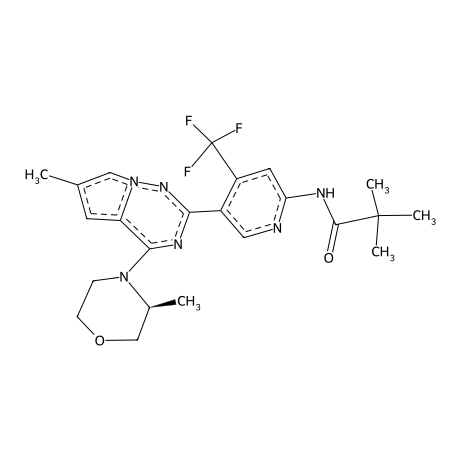 Cc1cc2c(N3CCOC[C@@H]3C)nc(-c3cnc(NC(=O)C(C)(C)C)cc3C(F)(F)F)nn2c1